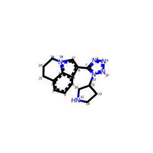 c1cc2c3c(c1)c(-c1nnnn1C1CCNC1)cn3CCC2